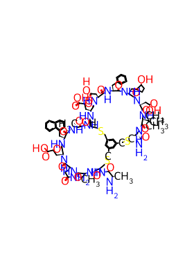 C[C@H](N)C(=O)N[C@H]1CSCc2cc3cc(c2)CSC[C@@H](NC(=O)[C@@H](C)NC(=O)[C@H](Cc2cccc4ccccc24)NC(=O)[C@H](CCC(=O)O)NC(=O)[C@H](CC(N)=O)NC(=O)[C@@H](C)NC1=O)C(=O)N[C@@H](CCC(=O)O)C(=O)N[C@@H](CC(=O)O)C(=O)N[C@@H](Cc1ccccc1)C(=O)N[C@@H](CC1CC[C@@H]1O)C(=O)N[C@@H](CC(=O)O)C(=O)N[C@@H](C(C)(C)C)C(=O)N[C@H](C(N)=O)CSC3